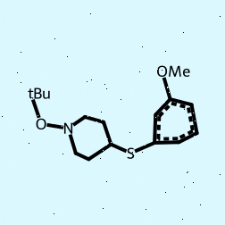 COc1cccc(SC2CCN(OC(C)(C)C)CC2)c1